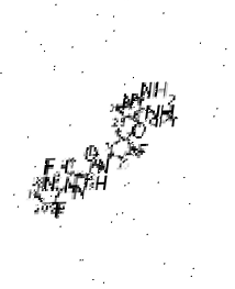 CC(C)Nc1c(Oc2ccc(NC(=O)c3cnn(-c4ncccc4F)c3C(F)(F)F)cc2F)ccnc1N